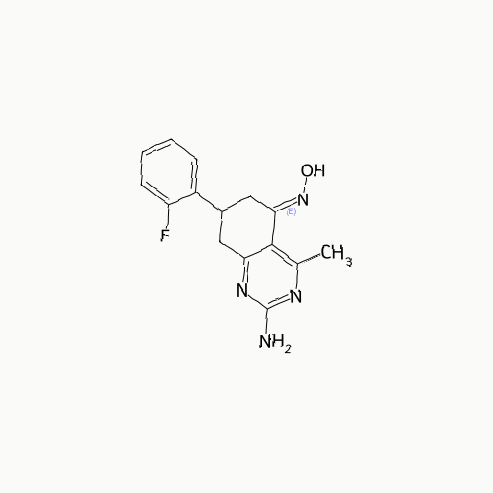 Cc1nc(N)nc2c1/C(=N/O)CC(c1ccccc1F)C2